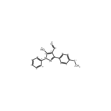 CSc1ccc(-c2nn(-c3ccccc3)c(O)c2C=O)cc1